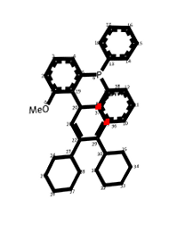 COc1cccc(P(c2ccccc2)c2ccccc2)c1C1[C]=C(C2CCCCC2)C(C2CCCCC2)=CC1OC